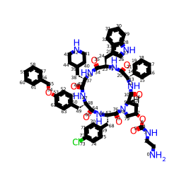 NCCNC(=O)OC1C[C@H]2C(=O)N[C@@H](c3ccccc3)C(=O)N[C@H](Cc3c[nH]c4ccccc34)C(=O)N[C@@H](CC3CCNCC3)C(=O)N[C@@H](Cc3ccc(OCc4ccccc4)cc3)C(=O)N[C@@H](Cc3ccc(Cl)cc3)C(=O)N2C1